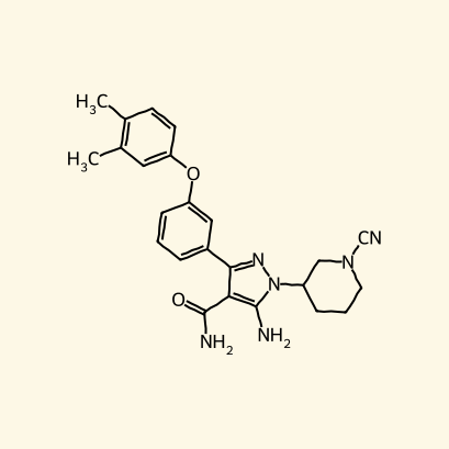 Cc1ccc(Oc2cccc(-c3nn(C4CCCN(C#N)C4)c(N)c3C(N)=O)c2)cc1C